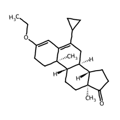 CCOC1=CC2=C(C3CC3)C[C@@H]3[C@H](CC[C@]4(C)C(=O)CC[C@@H]34)[C@@]2(C)CC1